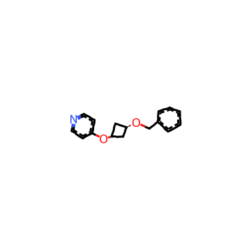 c1ccc(CO[C@H]2C[C@H](Oc3ccncc3)C2)cc1